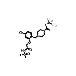 CS(=O)(=O)NC(=O)COc1cc(Cl)ccc1CN1CCN(C(=O)OC(C(F)(F)F)C(F)(F)F)CC1